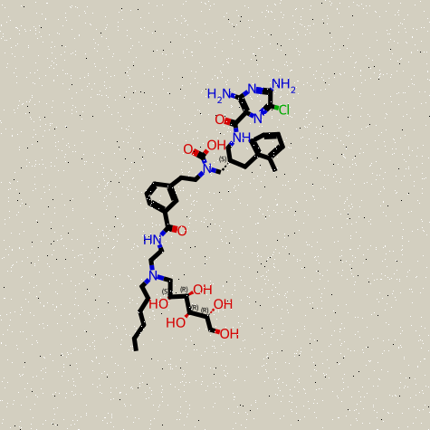 CCCCCCN(CCNC(=O)c1cccc(CCN(C[C@H](CNC(=O)c2nc(Cl)c(N)nc2N)Cc2ccccc2C)C(=O)O)c1)C[C@H](O)[C@@H](O)[C@H](O)[C@H](O)CO